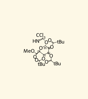 COC(=O)[C@H]1O[C@H](OC(=N)C(Cl)(Cl)Cl)[C@H](OC(=O)C(C)(C)C)[C@@H](OC(=O)C(C)(C)C)[C@@H]1OC(=O)C(C)(C)C